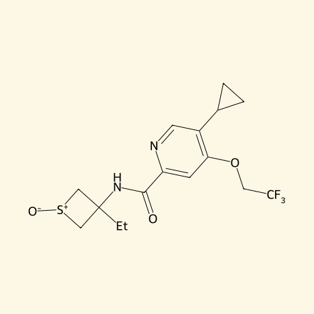 CCC1(NC(=O)c2cc(OCC(F)(F)F)c(C3CC3)cn2)C[S+]([O-])C1